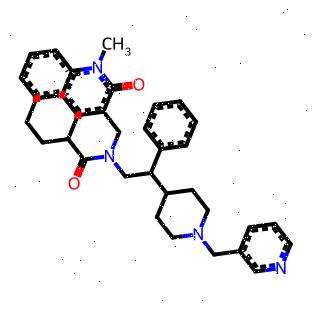 Cn1c(=O)c(CN(CC(c2ccccc2)C2CCN(Cc3cccnc3)CC2)C(=O)C2CCCCC2)cc2ccccc21